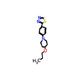 CCCOC1CCN(c2ccc(-c3nn[c]s3)cc2)CC1